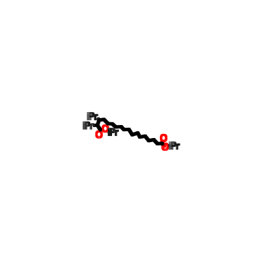 CC(C)OC(=O)CCCCCCCCCCCCCCC(C(C)C)C(C(=O)OC(C)C)C(C)C